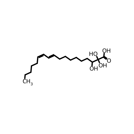 CCCCC/C=C\C=C\CCCCCCC(O)C(O)(O)C(=O)O